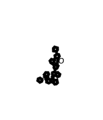 O=c1c2ccc(-c3ccccc3)cc2c2cccc3c4cc(-c5ccc(-n6c7ccccc7c7ccc8c(c9ccccc9n8-c8ccccc8)c76)c6ccccc56)ccc4n1c23